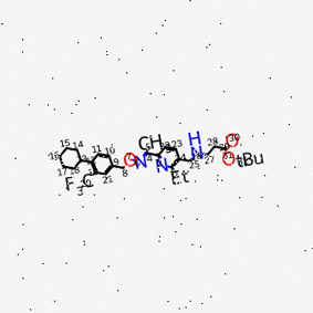 CCc1nc(C(C)=NOCc2ccc(C3CCCCC3)c(C(F)(F)F)c2)ccc1CNCCC(=O)OC(C)(C)C